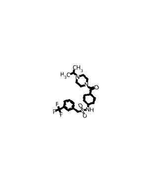 CC(C)N1CCN(C(=O)C2CCC(NS(=O)(=O)Cc3cccc(C(F)(F)F)c3)CC2)CC1